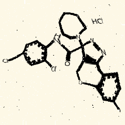 Cl.O=C(Nc1ccc(Cl)cc1Cl)C1(N2CCCCC2)N=NC2=C1COc1cc(I)ccc12